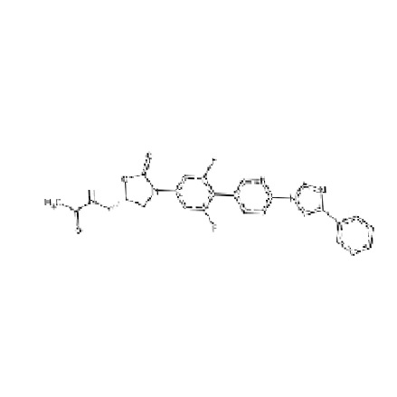 CC(=O)NC[C@H]1CN(c2cc(F)c(-c3ccc(-n4cnc(-c5ccccc5)c4)nc3)c(F)c2)C(=O)O1